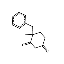 CC1(Cc2ccccc2)CCC(=O)CC1=O